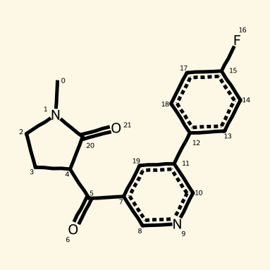 CN1CCC(C(=O)c2cncc(-c3ccc(F)cc3)c2)C1=O